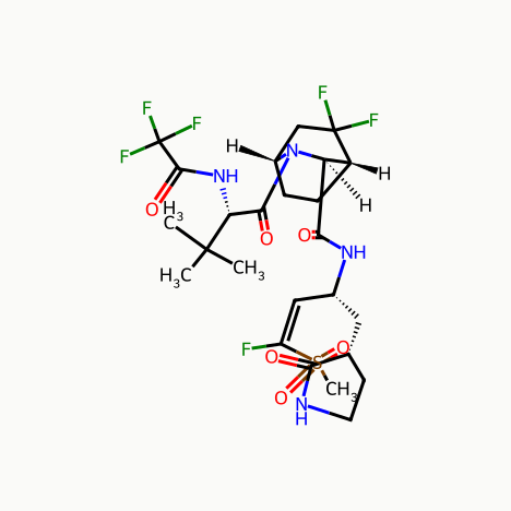 CC(C)(C)[C@H](NC(=O)C(F)(F)F)C(=O)N1[C@@H]2CC[C@H]([C@H]1C(=O)N[C@@H](/C=C(/F)S(C)(=O)=O)C[C@@H]1CCNC1=O)C(F)(F)C2